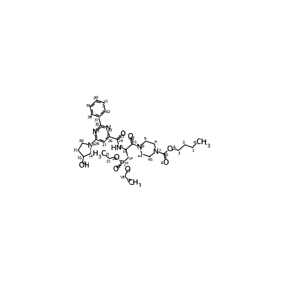 CCCCOC(=O)N1CCN(C(=O)C(CP(=O)(OCC)OCC)NC(=O)c2cc(N3CCC(O)C3)nc(-c3ccccc3)n2)CC1